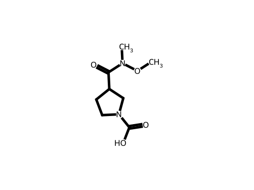 CON(C)C(=O)C1CCN(C(=O)O)C1